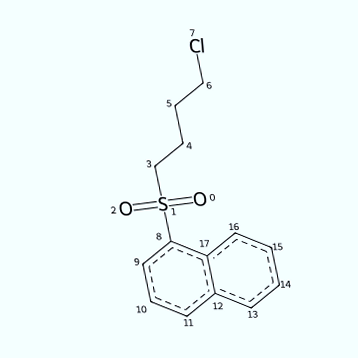 O=S(=O)(CCCCCl)c1cccc2ccccc12